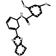 COc1ccc(C(=O)NC2C=CC=C(c3nc4cnccc4o3)C2)c(OC)c1